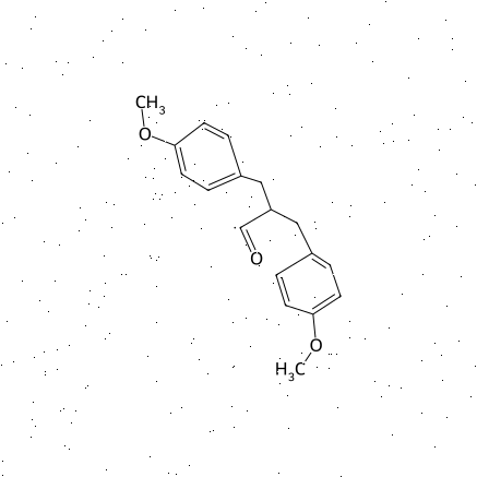 COc1ccc(CC([C]=O)Cc2ccc(OC)cc2)cc1